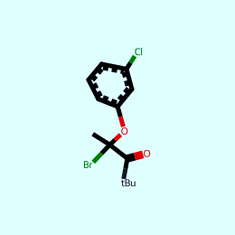 CC(C)(C)C(=O)C(C)(Br)Oc1cccc(Cl)c1